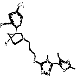 Cc1nc(C)c(-c2nnc(SCCCN3C[C@@H]4C[C@]4(c4ccc(C(F)(F)F)cc4F)C3)n2C)o1